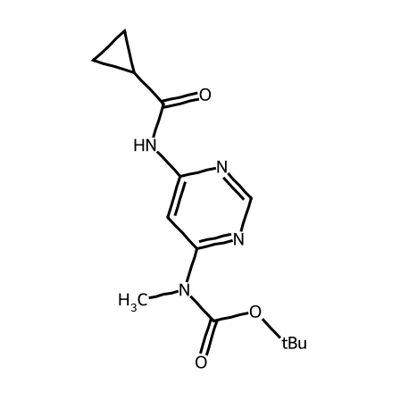 CN(C(=O)OC(C)(C)C)c1cc(NC(=O)C2CC2)ncn1